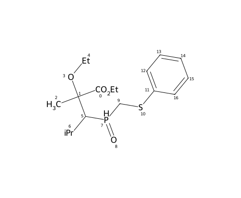 CCOC(=O)C(C)(OCC)C(C(C)C)[PH](=O)CSc1ccccc1